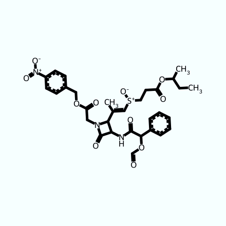 CCC(C)OC(=O)CC[S+]([O-])C=C(C)C1C(NC(=O)C(OC=O)c2ccccc2)C(=O)N1CC(=O)OCc1ccc([N+](=O)[O-])cc1